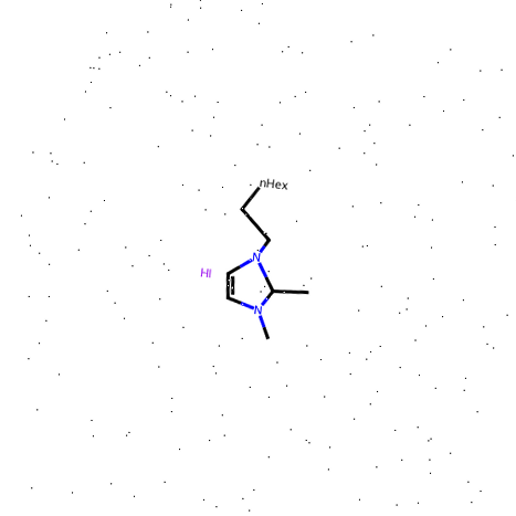 CCCCCCCCN1C=CN(C)C1C.I